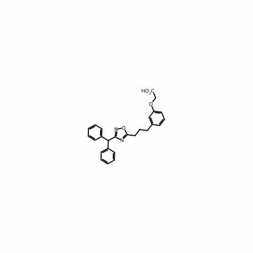 O=C(O)COc1cccc(CCCc2nc(C(c3ccccc3)c3ccccc3)no2)c1